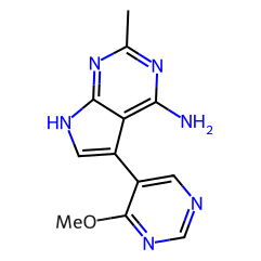 COc1ncncc1-c1c[nH]c2nc(C)nc(N)c12